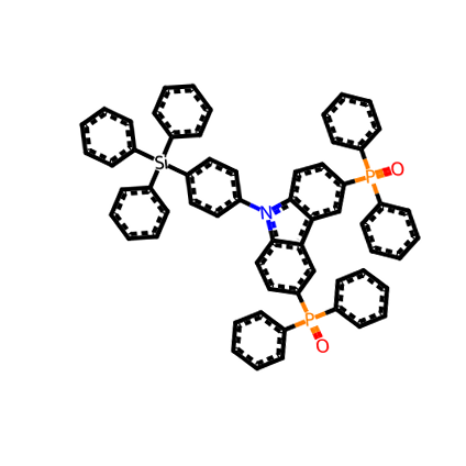 O=P(c1ccccc1)(c1ccccc1)c1ccc2c(c1)c1cc(P(=O)(c3ccccc3)c3ccccc3)ccc1n2-c1ccc([Si](c2ccccc2)(c2ccccc2)c2ccccc2)cc1